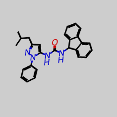 CC(C)Cc1cc(NC(=O)NC2c3ccccc3-c3ccccc32)n(-c2ccccc2)n1